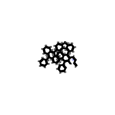 C=C/C=C\c1c(C)c(-c2ccccc2)c2ccccc2c1-c1cccc2sc3ccc(-c4c5ccccc5c(-c5ccccc5)c5ccccc45)cc3c12